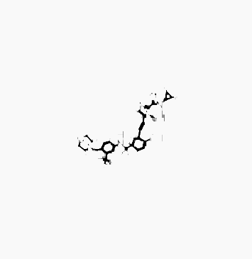 Cc1ccc(C(=O)Nc2ccc(CN3CCOCC3)c(C(F)(F)F)c2)cc1C#Cc1cnc(C(=O)NC2CC2)n1C